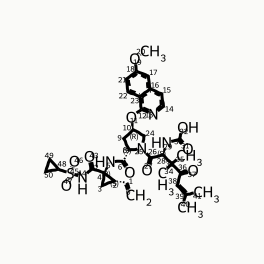 C=C[C@@H]1C[C@]1(NC(=O)[C@@H]1C[C@@H](Oc2nccc3cc(OC)ccc23)CN1C(=O)[C@@H](NC(=O)O)C(C)(C)C(=O)C=C(C)C)C(=O)NS(=O)(=O)C1CC1